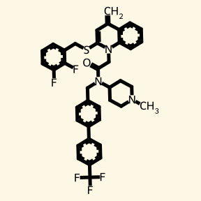 C=C1C=C(SCc2cccc(F)c2F)N(CC(=O)N(Cc2ccc(-c3ccc(C(F)(F)F)cc3)cc2)C2CCN(C)CC2)c2ccccc21